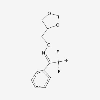 FC(F)(F)C(=NOCC1COCO1)c1ccccc1